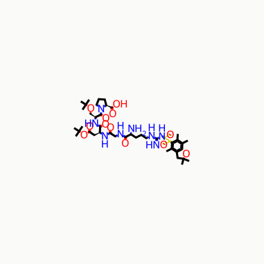 Cc1c(C)c(S(=O)(=O)NC(=N)NCCC[C@H](N)C(=O)NCC(=O)N[C@@H](CC(=O)OC(C)(C)C)C(=O)N[C@@H](COC(C)(C)C)C(=O)N2CCC[C@H]2C(=O)O)c(C)c2c1OC(C)(C)C2